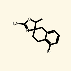 CC1OC(N)=NC12CCc1c(Br)cccc1C2